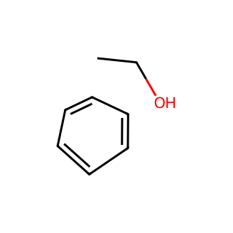 CCO.c1ccccc1